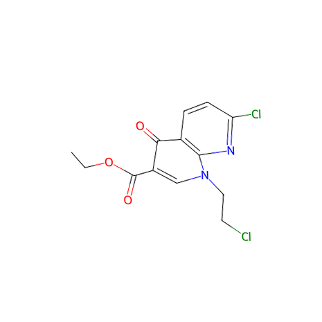 CCOC(=O)c1cn(CCCl)c2nc(Cl)ccc2c1=O